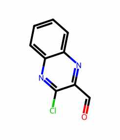 O=Cc1nc2ccccc2nc1Cl